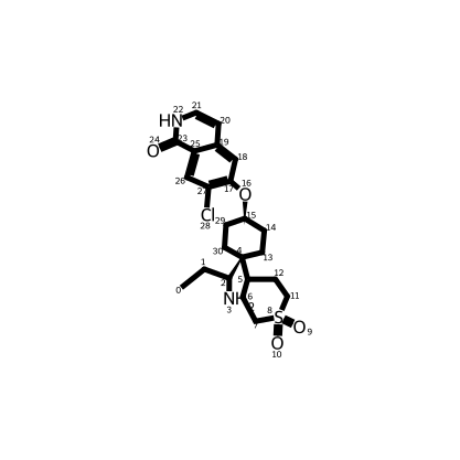 CCC(N)[C@]1(C2CCS(=O)(=O)CC2)CC[C@H](Oc2cc3cc[nH]c(=O)c3cc2Cl)CC1